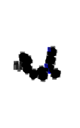 CC1(C)c2ccc(-c3cccc(-c4ccc(-c5nc(-c6ccccc6)cc(-c6ccc(-c7cccnc7)cc6)n5)c5ccccc45)c3)cc2-c2ccc3ccccc3c21